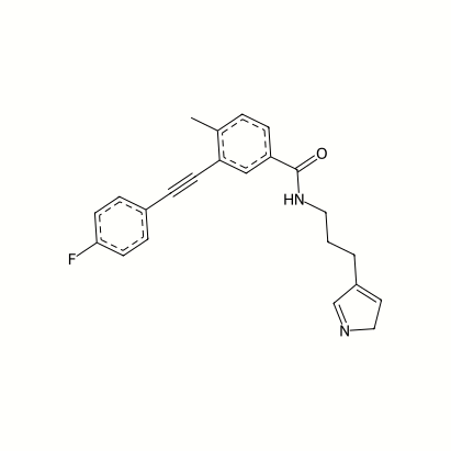 Cc1ccc(C(=O)NCCCC2=CCN=C2)cc1C#Cc1ccc(F)cc1